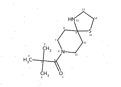 CC(C)(C)C(=O)N1CCC2(CC1)NCCS2